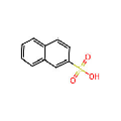 O=S(=O)(O)c1c[c]c2ccccc2c1